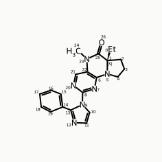 CC[C@@]12CCCN1c1nc(-n3ccnc3-c3ccccc3)ncc1N(C)C2=O